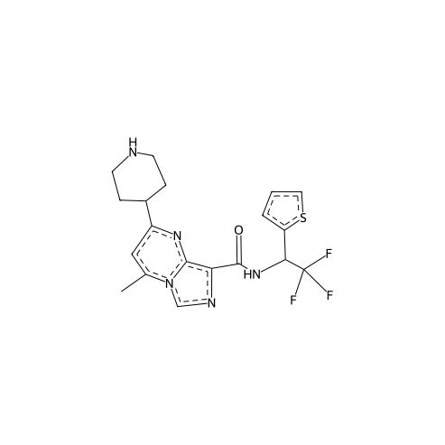 Cc1cc(C2CCNCC2)nc2c(C(=O)NC(c3cccs3)C(F)(F)F)ncn12